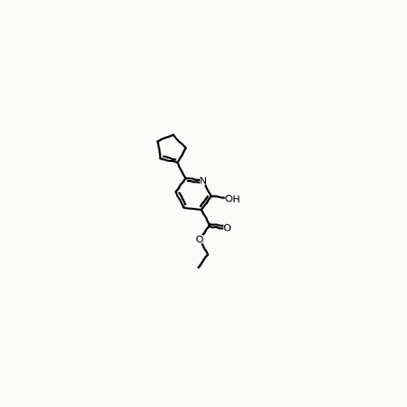 CCOC(=O)c1ccc(C2=CCCC2)nc1O